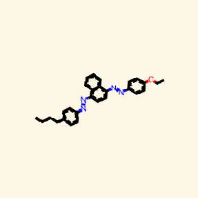 CCCCc1ccc(N=Nc2ccc(N=Nc3ccc(OCC)cc3)c3ccccc23)cc1